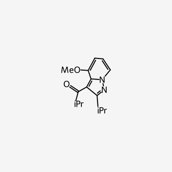 COc1cccn2nc(C(C)C)c(C(=O)C(C)C)c12